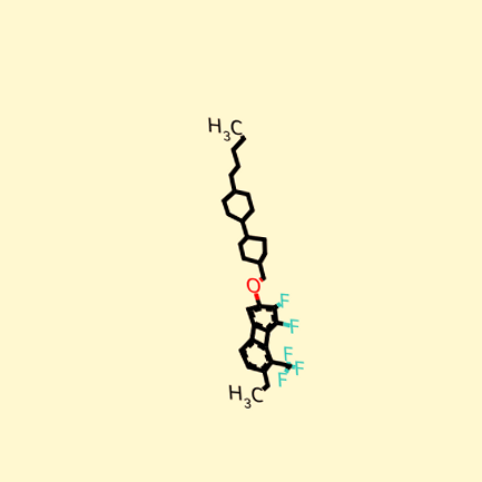 CCCCCC1CCC(C2CCC(COc3cc4c(c(F)c3F)-c3c-4ccc(CC)c3C(F)(F)F)CC2)CC1